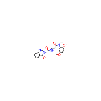 CCN(C(=O)CCNC(=O)Cn1cnc2ccccc2c1=O)c1cc(OC)ccc1OC